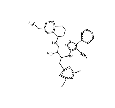 CCc1ccc2c(c1)C(NCC(O)C(Cc1cc(F)cc(F)c1)Nc1nsc(-c3ccccc3)c1C#N)CCC2